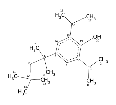 CC(C)c1cc(C(C)(C)CC(C)(C)C)cc(C(C)C)c1O